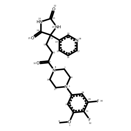 COc1cc(N2CCN(C(=O)CCC3(c4cccnc4)NC(=O)NC3=O)CC2)cc(F)c1F